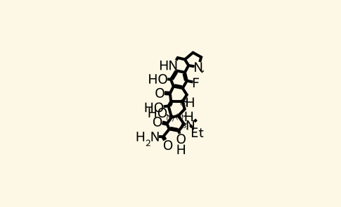 CCN(C)[C@@H]1C(O)=C(C(N)=O)C(=O)[C@@]2(O)C(O)=C3C(=O)c4c(O)c5c(c(F)c4C[C@H]3C[C@@H]12)C1C(CCN1C)CN5